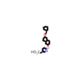 O=C(O)Cc1ccc(Oc2ccc3cc(OCc4ccccc4)ccc3c2)nc1